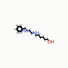 OCCCCCCNCCNCc1ccccc1